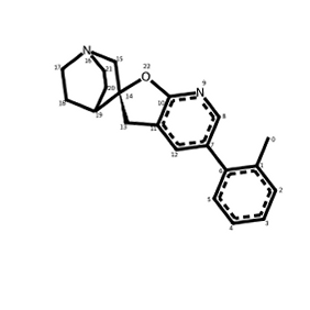 Cc1ccccc1-c1cnc2c(c1)C[C@@]1(CN3CCC1CC3)O2